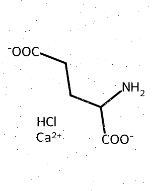 Cl.NC(CCC(=O)[O-])C(=O)[O-].[Ca+2]